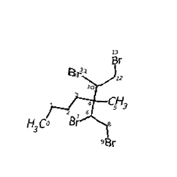 CCCCC(C)(C(Br)CBr)C(Br)CBr